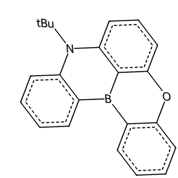 CC(C)(C)N1c2ccccc2B2c3ccccc3Oc3cccc1c32